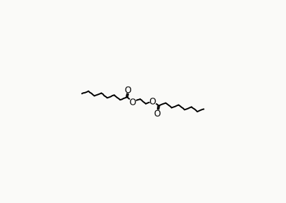 CCCCCCCC(=O)OCCOC(=O)CCCCCCC